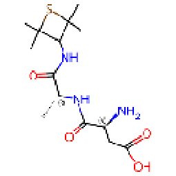 C[C@@H](NC(=O)[C@@H](N)CC(=O)O)C(=O)NC1C(C)(C)SC1(C)C